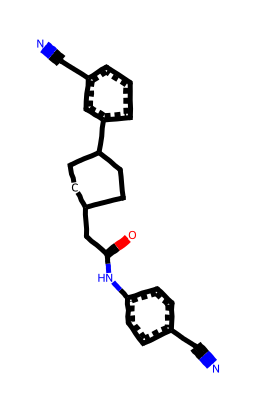 N#Cc1ccc(NC(=O)CC2CCC(c3cccc(C#N)c3)CC2)cc1